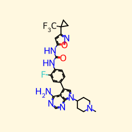 CN1CCC(n2cc(-c3ccc(NC(=O)Nc4cc(C5(C(F)(F)F)CC5)no4)c(F)c3)c3c(N)ncnc32)CC1